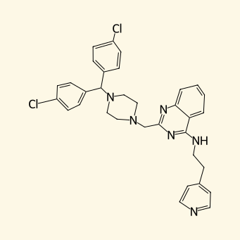 Clc1ccc(C(c2ccc(Cl)cc2)N2CCN(Cc3nc(NCCc4ccncc4)c4ccccc4n3)CC2)cc1